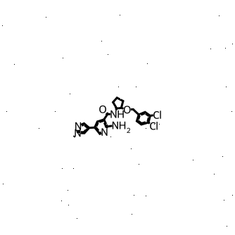 Cn1cc(-c2cnc(N)c(C(=O)NC3CCCC3OCc3ccc(Cl)c(Cl)c3)c2)cn1